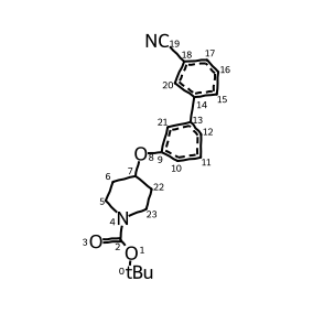 CC(C)(C)OC(=O)N1CCC(Oc2cccc(-c3cccc(C#N)c3)c2)CC1